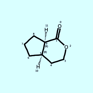 O=C1OCC[C@H]2CCC[C@@H]12